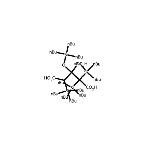 CCCC[Si](CCCC)(CCCC)OC(C(=O)O)(C(C(=O)O)[Si](CCCC)(CCCC)CCCC)C(C(=O)O)([Si](CCCC)(CCCC)CCCC)[Si](CCCC)(CCCC)CCCC